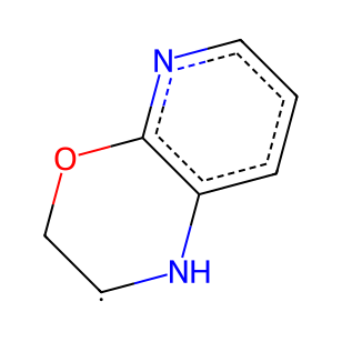 [CH]1COc2ncccc2N1